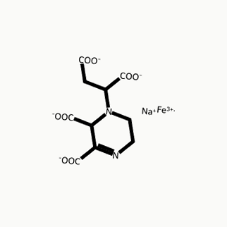 O=C([O-])CC(C(=O)[O-])N1CCN=C(C(=O)[O-])C1C(=O)[O-].[Fe+3].[Na+]